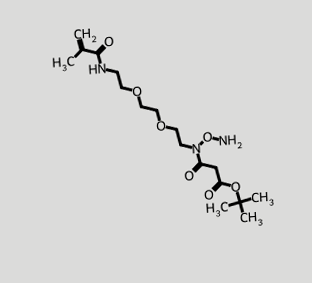 C=C(C)C(=O)NCCOCCOCCN(ON)C(=O)CC(=O)OC(C)(C)C